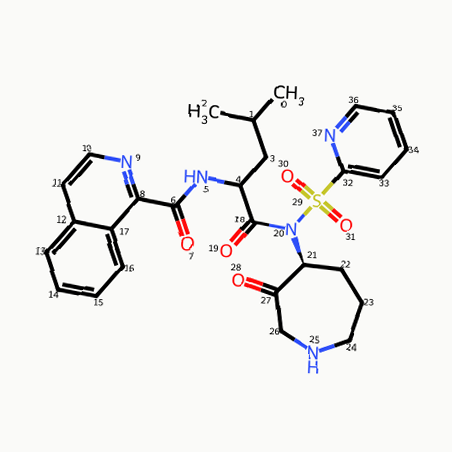 CC(C)CC(NC(=O)c1nccc2ccccc12)C(=O)N([C@H]1CCCNCC1=O)S(=O)(=O)c1ccccn1